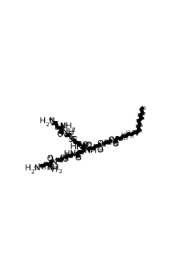 CCCCCCCC/C=C\CCCCCCCC(=O)OCCCOC(=O)CCC(=O)NC(CCC(=O)NCCSSCCNC(=O)C(N)CCCN)C(=O)NCCSSCCNC(=O)C(N)CCCN